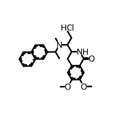 CCC(C1Cc2cc(OC)c(OC)cc2C(=O)N1)N(C)C(C)c1ccc2ccccc2c1.Cl